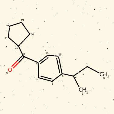 CCC(C)c1ccc(C(=O)C2CCCC2)cc1